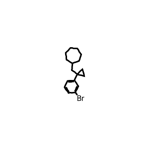 Brc1cccc(C2(CC3CCCCCC3)CC2)c1